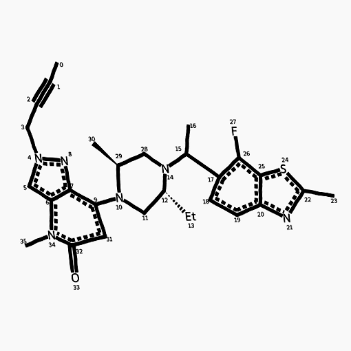 CC#CCn1cc2c(n1)c(N1C[C@@H](CC)N(C(C)c3ccc4nc(C)sc4c3F)C[C@@H]1C)cc(=O)n2C